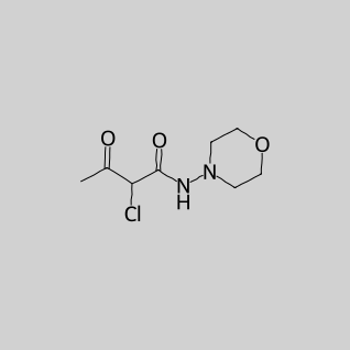 CC(=O)C(Cl)C(=O)NN1CCOCC1